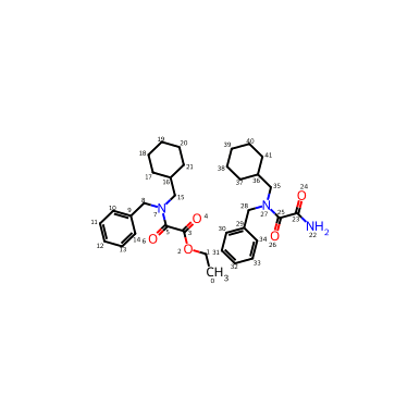 CCOC(=O)C(=O)N(Cc1ccccc1)CC1CCCCC1.NC(=O)C(=O)N(Cc1ccccc1)CC1CCCCC1